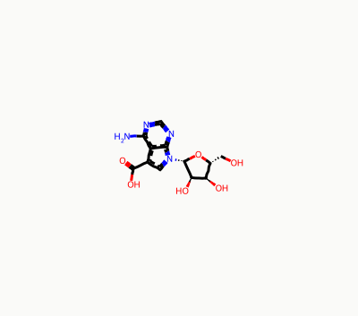 Nc1ncnc2c1c(C(=O)O)cn2[C@@H]1O[C@H](CO)[C@@H](O)[C@H]1O